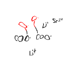 O=C([O-])[O-].O=C([O-])[O-].[Li+].[Li+].[Sr+2]